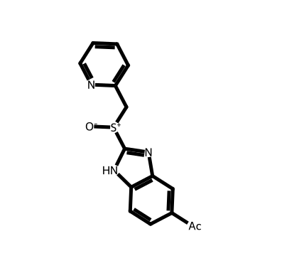 CC(=O)c1ccc2[nH]c([S+]([O-])Cc3ccccn3)nc2c1